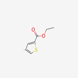 CCOC(=O)c1c[c]cs1